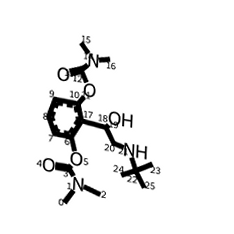 CN(C)C(=O)Oc1cccc(OC(=O)N(C)C)c1C(O)CNC(C)(C)C